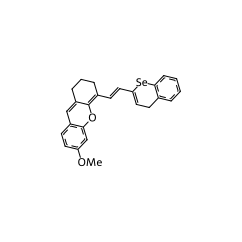 COc1ccc2c(c1)OC1=C(C=CC3=CCc4ccccc4[Se]3)CCCC1=C2